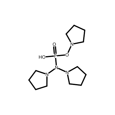 O=P(O)(ON1CCCC1)N(N1CCCC1)N1CCCC1